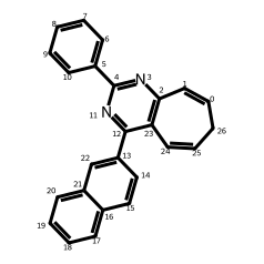 C1=Cc2nc(-c3ccccc3)nc(-c3ccc4ccccc4c3)c2C=CC1